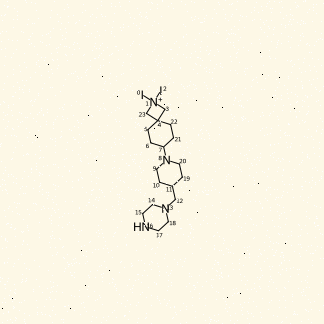 I[N+]1(I)CC2(CCC(N3CCC(CN4CCNCC4)CC3)CC2)C1